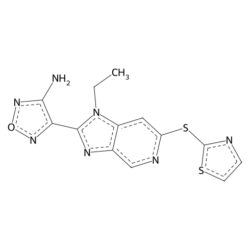 CCn1c(-c2nonc2N)nc2cnc(Sc3nccs3)cc21